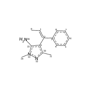 CC=C(c1ccccc1)c1c(C)nn(C)c1N